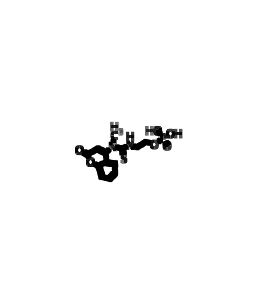 CN(C(=S)NCCOP(=O)(O)O)c1cc(=O)oc2ccccc12